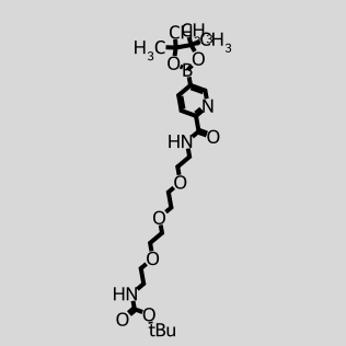 CC(C)(C)OC(=O)NCCOCCOCCOCCNC(=O)c1ccc(B2OC(C)(C)C(C)(C)O2)cn1